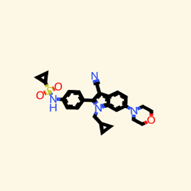 N#Cc1c(-c2ccc(NS(=O)(=O)C3CC3)cc2)n(CC2CC2)c2cc(N3CCOCC3)ccc12